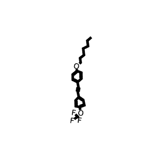 CCCCCCCOc1ccc(C#Cc2ccc(OC(F)(F)F)cc2)cc1